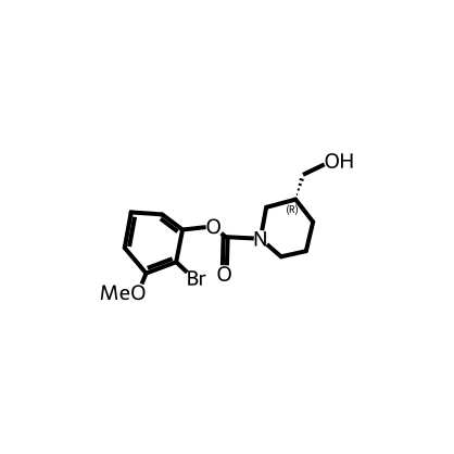 COc1cccc(OC(=O)N2CCC[C@@H](CO)C2)c1Br